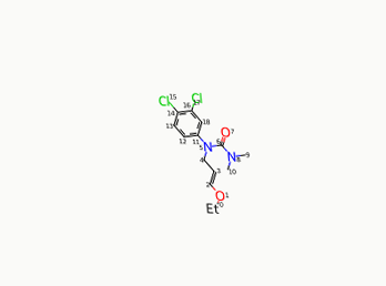 CCOC=CCN(C(=O)N(C)C)c1ccc(Cl)c(Cl)c1